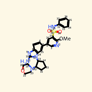 COc1ncc(-c2ccc3nc(N)n(C4CCCC4N4CCOCC4)c3c2)cc1S(=O)(=O)Nc1ccccc1